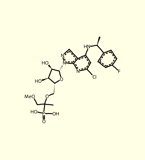 COCC(C)(OC[C@H]1O[C@@H](n2ncc3c(N[C@@H](C)c4ccc(F)cc4)cc(Cl)nc32)[C@H](O)[C@@H]1O)P(=O)(O)O